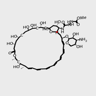 COC(=O)NNC(=O)N[C@H]1[C@@H]2C[C@@H](O[C@@H]3OC[C@@H](O)[C@H](N)[C@@H]3O)/C=C/C=C/C=C/C=C/C=C/C=C/C=C/[C@H](C)[C@@H](O)C[C@H](C)OC(=O)C[C@H](O)C[C@H](O)CC[C@@H](O)[C@H](O)C[C@H](O)C[C@](O)(C[C@@H]1O)O2